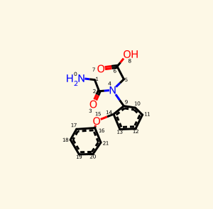 NCC(=O)N(CC(=O)O)c1ccccc1Oc1ccccc1